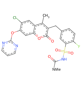 CNC(=O)NS(=O)(=O)c1cc(Cc2c(C)c3cc(Cl)c(Oc4ncccn4)cc3oc2=O)ccc1F